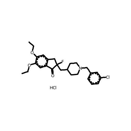 CCOc1cc2c(cc1OCC)C(=O)C(F)(CC1CCN(Cc3cccc(Cl)c3)CC1)C2.Cl